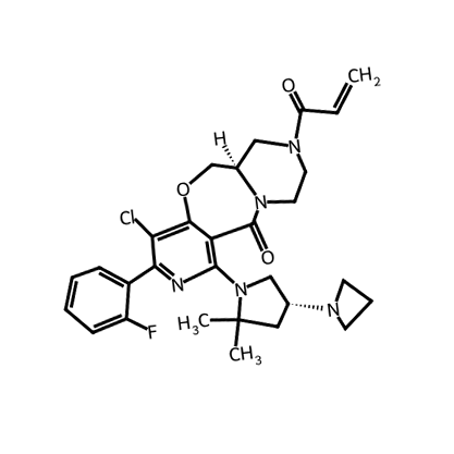 C=CC(=O)N1CCN2C(=O)c3c(N4C[C@H](N5CCC5)CC4(C)C)nc(-c4ccccc4F)c(Cl)c3OC[C@H]2C1